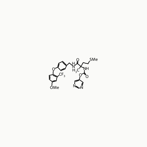 COc1ccc(Oc2ccc(CNC(=O)C(C)(CCSC)NC(=O)Oc3cncnc3)cc2)c(C(F)(F)F)c1